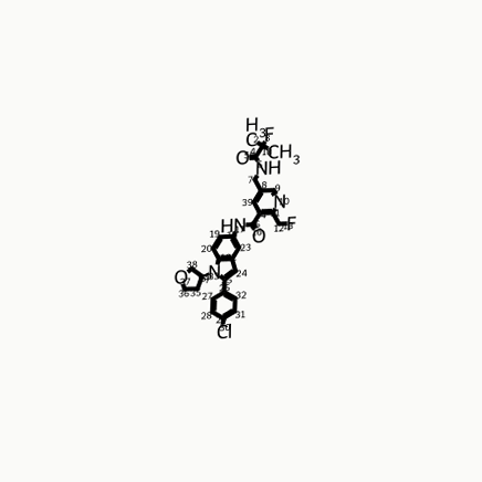 CC(C)(F)C(=O)NCc1cnc(CF)c(C(=O)Nc2ccc3c(c2)cc(-c2ccc(Cl)cc2)n3[C@H]2CCOC2)c1